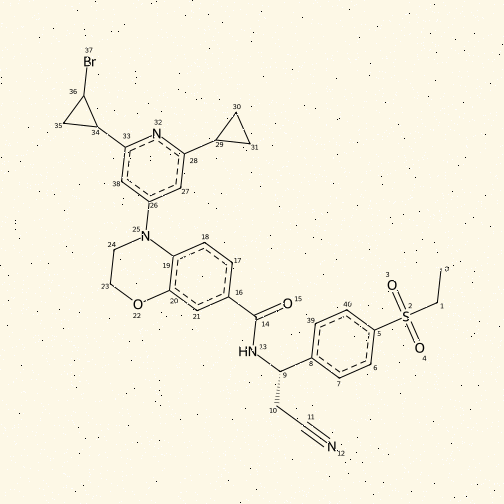 CCS(=O)(=O)c1ccc([C@H](CC#N)NC(=O)c2ccc3c(c2)OCCN3c2cc(C3CC3)nc(C3CC3Br)c2)cc1